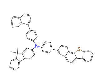 CC1(C)c2ccccc2-c2ccc(N(c3ccc(-c4ccc5c(ccc6c7ccccc7sc56)c4)cc3)c3ccc(-c4cccc5ccccc45)cc3)cc21